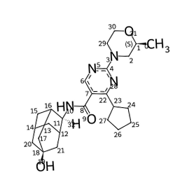 C[C@H]1CN(c2ncc(C(=O)N[C@H]3C4CC5CC3C[C@@](O)(C5)C4)c(C3CCCC3)n2)CCO1